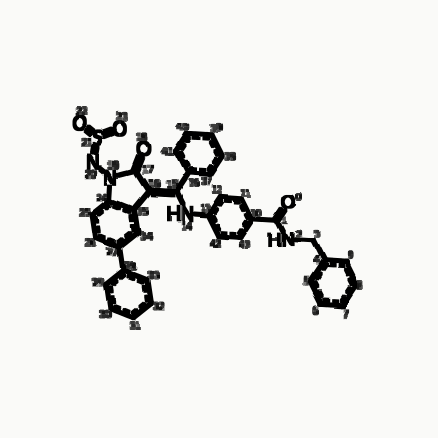 O=C(NCc1ccccc1)c1ccc(NC(=C2C(=O)N(N=S(=O)=O)c3ccc(-c4ccccc4)cc32)c2ccccc2)cc1